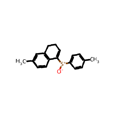 Cc1ccc([S+]([O-])C2=CCCc3cc(C)ccc32)cc1